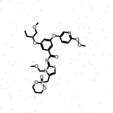 CCC(COC)Oc1cc(Oc2ccc(OOC)nc2)cc(C(=O)/N=c2\scc(CP3(=O)OCCCO3)n2COC)c1